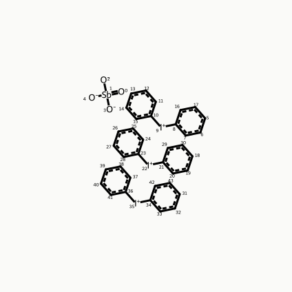 [O]=[Sb]([O-])([O-])[O-].c1ccc([I+]c2ccccc2)cc1.c1ccc([I+]c2ccccc2)cc1.c1ccc([I+]c2ccccc2)cc1